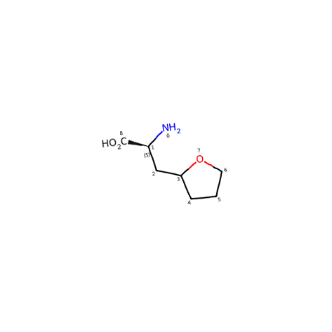 N[C@@H](CC1CCCO1)C(=O)O